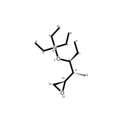 CC[C@H](O[Si](CC)(CC)CC)[C@H](C)[C@@H]1CO1